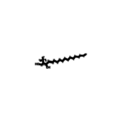 CCCCCCCCCCCCCC=CC(O)C(CO)[N+](C)(C)C